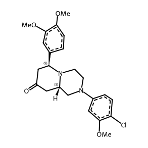 COc1cc(N2CCN3[C@@H](CC(=O)C[C@H]3c3ccc(OC)c(OC)c3)C2)ccc1Cl